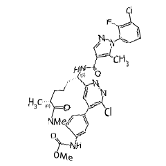 CNC(=O)[C@H](C)CCC[C@H](NC(=O)c1cnn(-c2cccc(Cl)c2F)c1C)c1cc(-c2ccc(NC(=O)OC)cc2)c(Cl)nn1